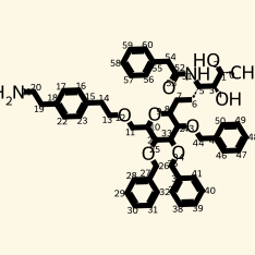 C[C@@H](O)[C@@H](O)[C@H](CCC1OC(COCCc2ccc(CCN)cc2)C(OCc2ccccc2)C(OCc2ccccc2)C1OCc1ccccc1)NC(=O)Cc1ccccc1